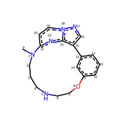 CN1CCCNCCOc2cccc(c2)-c2cnn3ccc1nc23